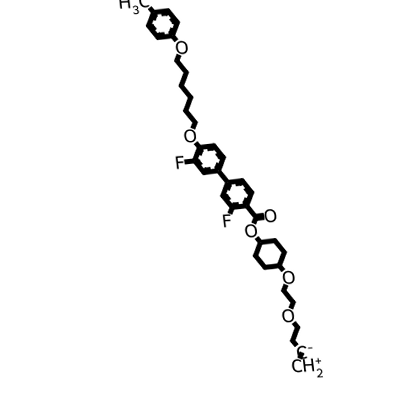 [CH2+][CH-]CCOCCOC1CCC(OC(=O)c2ccc(-c3ccc(OCCCCCCOc4ccc(C)cc4)c(F)c3)cc2F)CC1